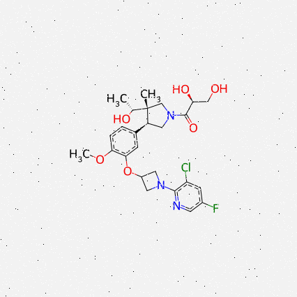 COc1ccc([C@@H]2CN(C(=O)[C@@H](O)CO)C[C@@]2(C)[C@@H](C)O)cc1OC1CN(c2ncc(F)cc2Cl)C1